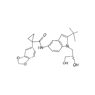 CC(C)(C)c1cc2cc(NC(=O)C3(c4ccc5c(c4)OCO5)CC3)ccc2n1CC(CO)CO